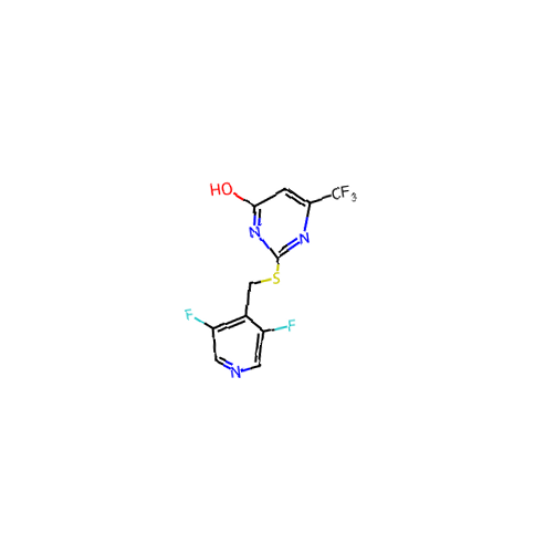 Oc1cc(C(F)(F)F)nc(SCc2c(F)cncc2F)n1